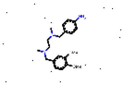 COc1ccc(CN(C)CCN(C)Cc2ccc(N)cc2)cc1OC